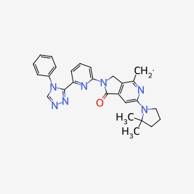 [CH2]c1nc(N2CCCC2(C)C)cc2c1CN(c1cccc(-c3nncn3-c3ccccc3)n1)C2=O